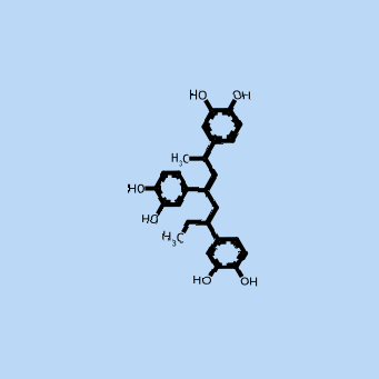 CCC(CC(CC(C)c1ccc(O)c(O)c1)c1ccc(O)c(O)c1)c1ccc(O)c(O)c1